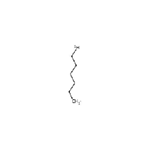 [2H][CH]CCCC[CH2]